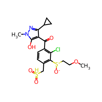 COCC[S+]([O-])c1c(C[SH](=O)=O)ccc(C(=O)c2c(C3CC3)nn(C)c2O)c1Cl